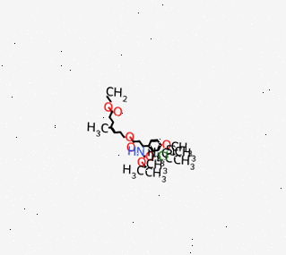 C=CCOC(=O)CCC(C)=CCCOC(=O)CC(NC(=O)OC(C)(C)C)c1ccc(O[Si](C)(C)C(C)(C)C)c(Cl)c1